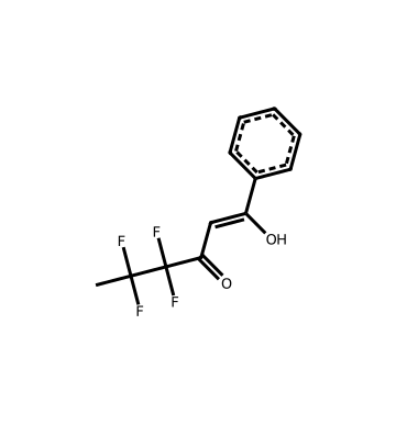 CC(F)(F)C(F)(F)C(=O)/C=C(\O)c1ccccc1